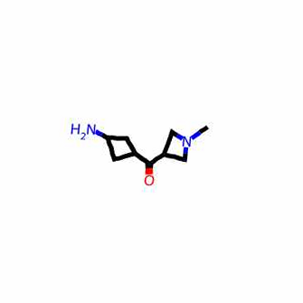 CN1CC(C(=O)C2CC(N)C2)C1